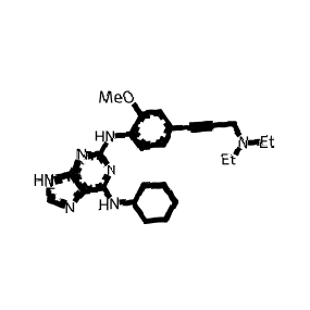 CCN(CC)CC#Cc1ccc(Nc2nc(NC3CCCCC3)c3nc[nH]c3n2)c(OC)c1